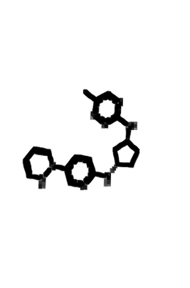 Cc1cnc(N[C@H]2CC[C@H](Nc3ccc(N4C=CC=CN4)cn3)C2)nn1